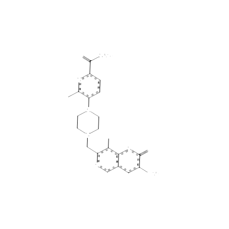 CNC(=O)c1ccc(N2CCN(Cc3ncc4cc(SC)c(=O)[nH]c4c3F)CC2)c(C)n1